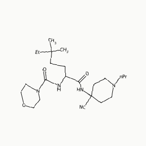 CCCN1CCC(C#N)(NC(=O)C(CCC(C)(C)CC)NC(=O)N2CCOCC2)CC1